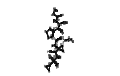 C=C[C@@H]1C[C@]1(NC(=O)[C@@H]1CCCN1C(=O)[C@@H](NC(=O)OC(C)(C)C)C(C)(C)C)C(=O)NS(=O)(=O)C1CC1